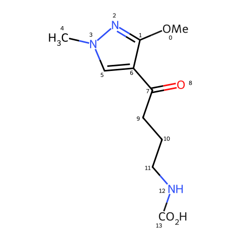 COc1nn(C)cc1C(=O)CCCNC(=O)O